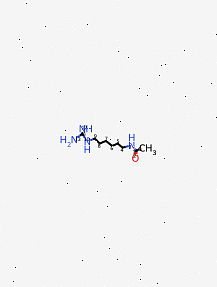 CC(=O)NCCCCCCNC(=N)N